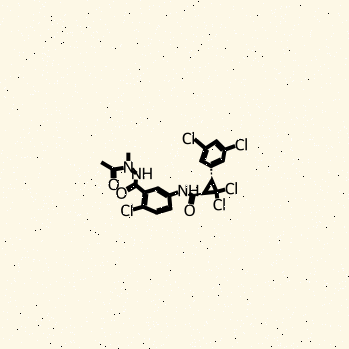 CC(=O)N(C)NC(=O)c1cc(NC(=O)[C@H]2[C@H](c3cc(Cl)cc(Cl)c3)C2(Cl)Cl)ccc1Cl